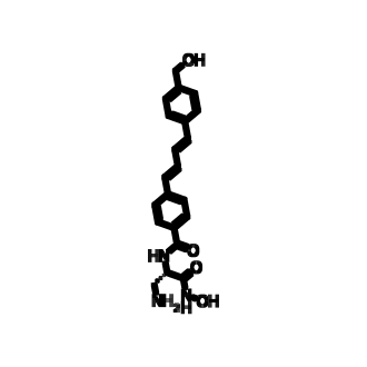 NC[C@H](NC(=O)c1ccc(/C=C/C=Cc2ccc(CO)cc2)cc1)C(=O)NO